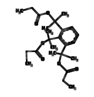 CCC(=O)OC(C)(C)c1cccc(C(C)(C)OC(=O)CC)c1C(C)(C)OC(=O)CC